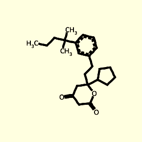 CCCC(C)(C)c1cccc(CCC2(C3CCCC3)CC(=O)CC(=O)O2)c1